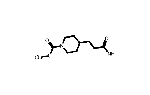 CC(C)(C)OC(=O)N1CCC(CCC([NH])=O)CC1